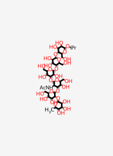 CC(=O)NC1[C@H](O[C@@H]2C(O)[C@@H](O[C@H]3C(CO)O[C@@H](O[C@@H]4C(CO)O[C@@H](OC(C)C)C(O)[C@H]4O)C(O)[C@H]3O)OC(CO)[C@@H]2O)OC(CO)[C@H](O)[C@@H]1O[C@@H]1OC(CO)[C@H](O)[C@H](O)C1O[C@@H]1OC(C)[C@@H](O)[C@H](O)C1O